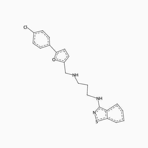 Clc1ccc(-c2ccc(CNCCCNc3nsc4ccccc34)o2)cc1